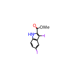 COC(=O)c1[nH]c2ccc(I)cc2c1I